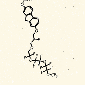 CCCCCCCCOc1ccc2c(c1)Cc1cc(OC[C@@H](F)COCC(F)(F)OC(F)(F)C(F)(F)OC(F)(F)C(F)(F)OC(F)(F)F)ccc1-2